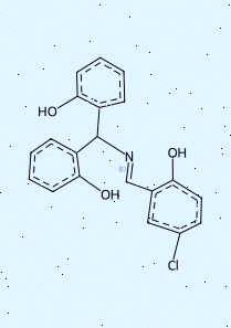 Oc1ccc(Cl)cc1/C=N/C(c1ccccc1O)c1ccccc1O